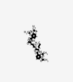 CCCC[C@H](NC(=O)c1cccc(OC(C)=O)c1OC(C)=O)C(=O)NCCC[C@H](NC(=O)c1cccc(OC(C)=O)c1OC(C)=O)C(=O)O